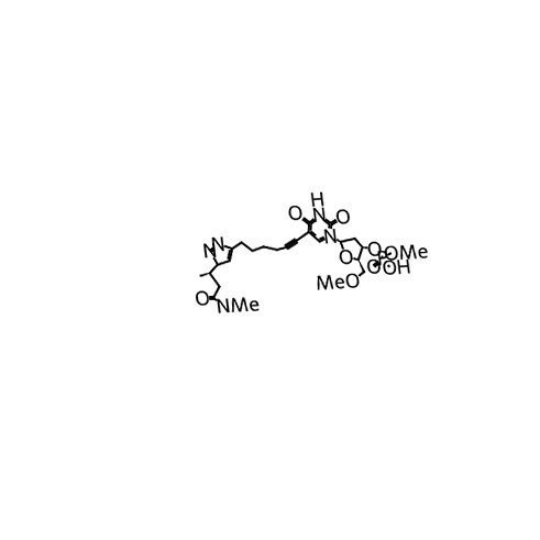 CNC(=O)C[C@@H](C)C1C=C(CCCCC#Cc2cn([C@H]3C[C@@H](OP(=O)(O)OC)[C@@H](COC)O3)c(=O)[nH]c2=O)N=N1